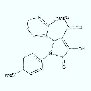 COc1ncccc1C1C(C(=O)C(C)(C)C)=C(O)C(=O)N1c1ccc(SC)cc1